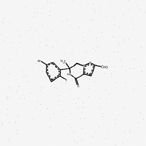 CC1(c2cc(Br)ccc2F)Cn2nc(C=O)cc2C(=O)N1